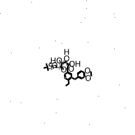 CCc1ccc(C2(OC)O[C@H](CO[Si](C)(C)C(C)(C)C)[C@@H](O)[C@H](O)[C@H]2O)cc1Cc1ccc2c(c1)OCCO2